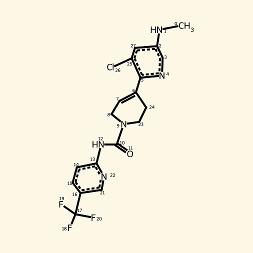 CNc1cnc(C2=CCN(C(=O)Nc3ccc(C(F)(F)F)cn3)CC2)c(Cl)c1